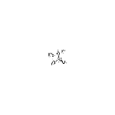 O=[N+]([O-])[O-].[F-].[K+].[K+]